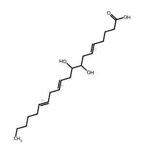 CCCCC/C=C/C/C=C/CC(O)C(O)C/C=C/CCCC(=O)O